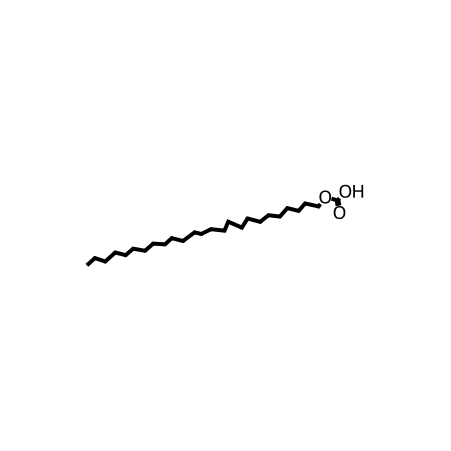 CCCCCCCCCCCCCCCCCCCCCCCCCOC(=O)O